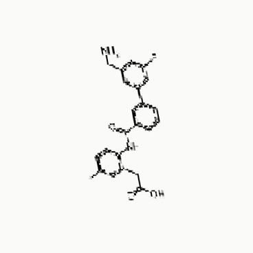 Cc1ccc(NC(=O)c2cccc(-c3cc(F)cc(CN)c3)c2)c(CC(=O)O)c1